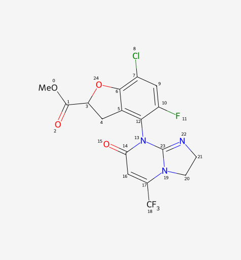 COC(=O)C1Cc2c(c(Cl)cc(F)c2N2C(=O)C=C(C(F)(F)F)N3CCN=C32)O1